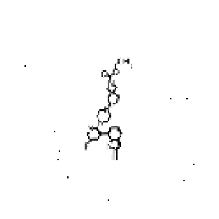 CCOC(=O)N1CC2(CC[C@@H](N3CCN(c4ncc(F)cc4-c4cccc5c[nH]nc45)CC3)C2)C1